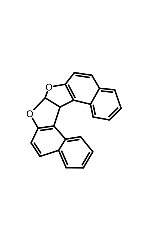 c1ccc2c3c(ccc2c1)OC1Oc2ccc4ccccc4c2C31